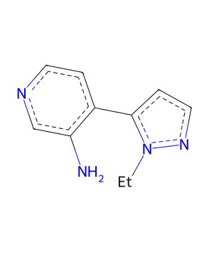 CCn1nccc1-c1ccncc1N